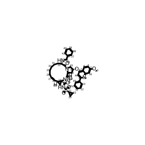 COc1ccc2c(O[C@@H]3C[C@H]4C(=O)N[C@]5(C(=O)NS(=O)(=O)C6CC6)C[C@H]5/C=C\CCCCC[C@H](NCc5ccccc5)C(=O)N4C3)cc(-c3ccccc3)nc2c1